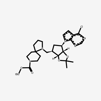 CC(C)(C)OC(=O)N1CCC2(CCCN2C[C@H]2C[C@@H](n3ccc4c(Cl)ncnc43)[C@@H]3OC(C)(C)O[C@H]23)CC1